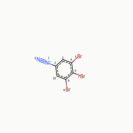 N#[N+]c1cc(Br)c(Br)c(Br)c1